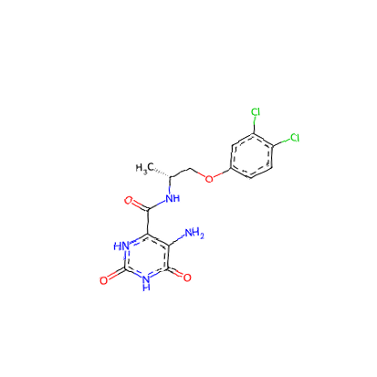 C[C@H](COc1ccc(Cl)c(Cl)c1)NC(=O)c1[nH]c(=O)[nH]c(=O)c1N